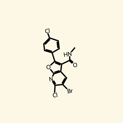 CNC(=O)c1c(-c2ccc(Cl)cc2)oc2nc(Cl)c(Br)cc12